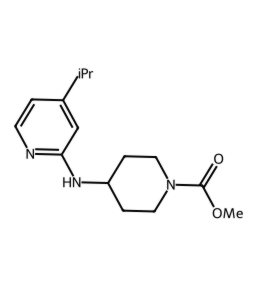 COC(=O)N1CCC(Nc2cc(C(C)C)ccn2)CC1